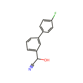 N#CC(O)c1cccc(-c2ccc(F)cc2)c1